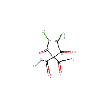 CC(=O)C(C(=O)CCl)(C(=O)CCl)C(=O)CCl